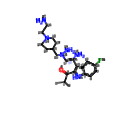 CC(C)C(=O)c1[nH]c2ccc(F)cc2c1/C(N)=C/N(N)CC1CCN(CCN)CC1